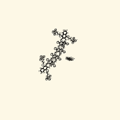 CC12N3Cc4c(c(OCCCS(=O)(=O)[O-])c5ccccc5c4OCCCS(=O)(=O)[O-])CN1C(=O)N1CN4C(=O)N5CN6C(=O)N7CN8C(=O)N9Cc%10c(c(OCCCS(=O)(=O)[O-])c%11ccccc%11c%10OCCCS(=O)(=O)[O-])CN%10C(=O)N(CN%11C(=O)N(CN%12C(=O)N(CN(C3=O)C12C)C4C%125)C6C%117)C8(C)C%109C.[Na+].[Na+].[Na+].[Na+]